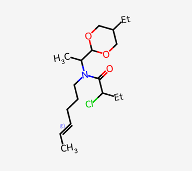 C/C=C/CCCN(C(=O)C(Cl)CC)C(C)C1OCC(CC)CO1